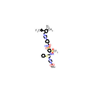 CC1(C)CCC(CN2CCN(c3ccc(C(=O)NS(=O)(=O)c4ccc(N[C@H](CCN5CCN(C(=O)OC(C)(C)C)CC5)CSc5ccccc5)c(S(=O)(=O)C(F)(F)F)c4)cc3)CC2)=C(C23CC(C(F)(F)F)(C2)C3)C1